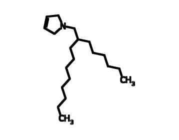 CCCCCCCCC(CCCCCC)CN1CC=CC1